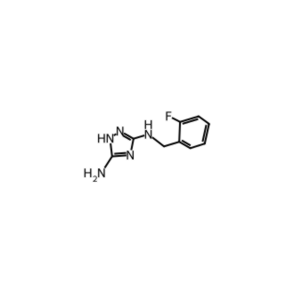 Nc1nc(NCc2ccccc2F)n[nH]1